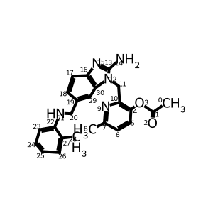 CC(=O)Oc1ccc(C)nc1Cn1c(N)nc2ccc(CNc3ccccc3C)cc21